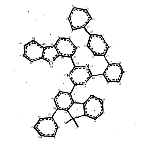 CC1(C)c2ccccc2-c2c(-c3nc(-c4ccccc4-c4ccc(-c5ccccc5)cc4)nc(-c4cccc5c4oc4ccccc45)n3)ccc(-c3ccccc3)c21